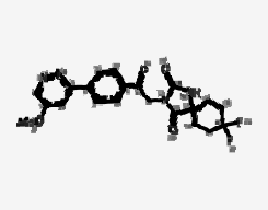 COc1cnnc(-c2ccc(C(=O)CN3C(=O)NC4(CCC(F)(F)CC4)C3=O)cc2)c1